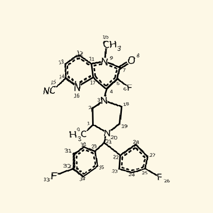 CC1CN(c2c(F)c(=O)n(C)c3ccc(C#N)nc23)CCN1C(c1ccc(F)cc1)c1ccc(F)cc1